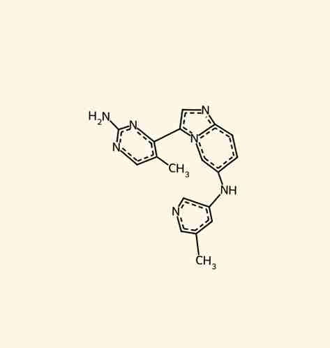 Cc1cncc(Nc2ccc3ncc(-c4nc(N)ncc4C)n3c2)c1